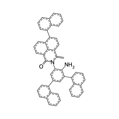 C=c1c2ccc(-c3cccc4ccccc34)c3cccc(c(=O)n1-c1cc(-c4cccc5ccccc45)cc(-c4cccc5ccccc45)c1N)c32